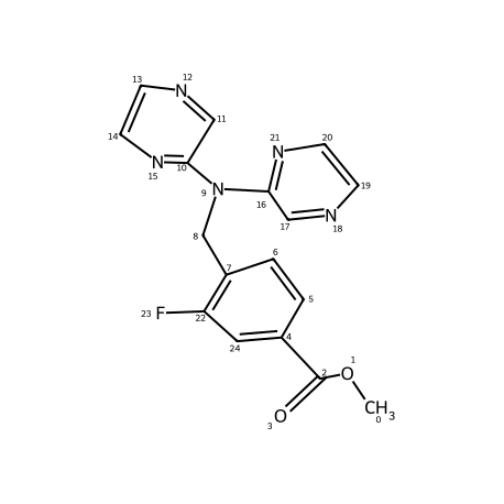 COC(=O)c1ccc(CN(c2cnccn2)c2cnccn2)c(F)c1